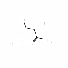 Cl.NC(=O)[C@@H](N)CO.O